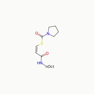 CCCCCCCCNC(=O)/C=C\SC(=O)N1CCCC1